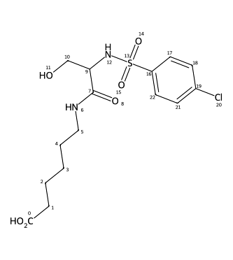 O=C(O)CCCCCNC(=O)C(CO)NS(=O)(=O)c1ccc(Cl)cc1